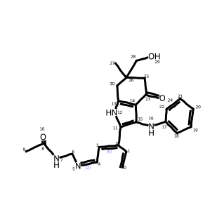 C=C/C(=C\C=N/CNC(C)=O)c1[nH]c2c(c1Nc1ccccc1)C(=O)CC(C)(CO)C2